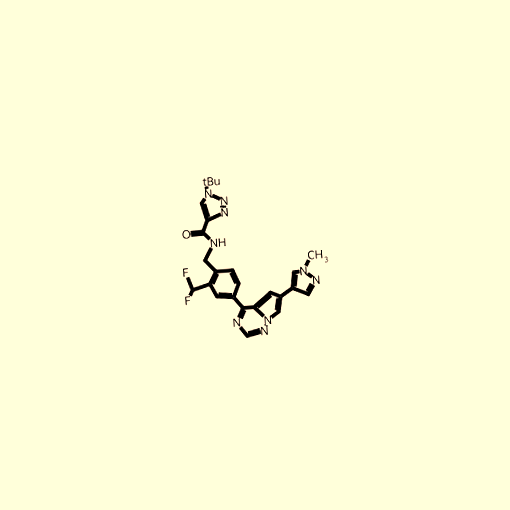 Cn1cc(-c2cc3c(-c4ccc(CNC(=O)c5cn(C(C)(C)C)nn5)c(C(F)F)c4)ncnn3c2)cn1